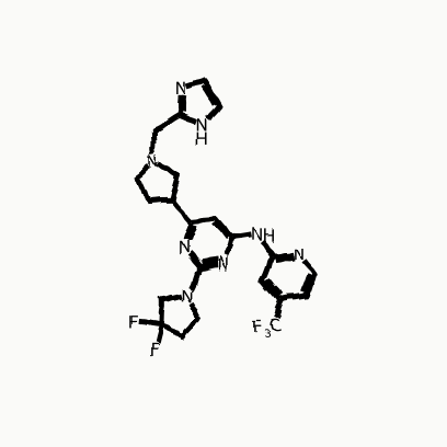 FC1(F)CCN(c2nc(Nc3cc(C(F)(F)F)ccn3)cc(C3CCN(Cc4ncc[nH]4)C3)n2)C1